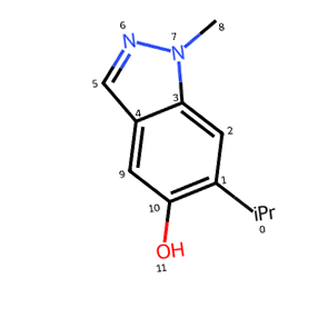 CC(C)c1cc2c(cnn2C)cc1O